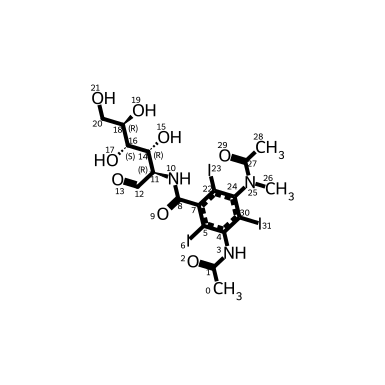 CC(=O)Nc1c(I)c(C(=O)N[C@@H](C=O)[C@@H](O)[C@H](O)[C@H](O)CO)c(I)c(N(C)C(C)=O)c1I